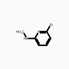 CCc1cccc(NC(=O)O)n1